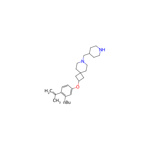 C=C(C)c1ccc(OC2CC3(CCN(CC4CCNCC4)CC3)C2)cc1CCCC